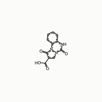 O=C(O)c1cn2c(=O)[nH]c3ccccc3n2c1=O